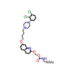 CNCNC(=O)OCOc1ccc2ccc(OCCCCN3CCN(c4cccc(Cl)c4Cl)CC3)cc2n1